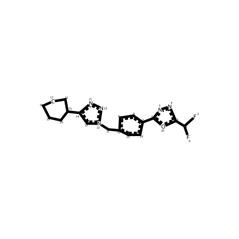 FC(F)c1nnc(-c2ccc(Cn3cc(C4CCCCC4)nn3)cc2)o1